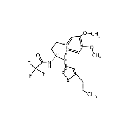 CCCc1cc([C@@H]2c3cc(OC)c(OC)cc3CC[C@H]2NC(=O)C(F)(F)F)cs1